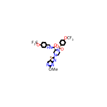 COc1ncc2sc(N3CCN(S(=O)(=O)c4ccc(OC(F)(F)F)cc4)[C@@H](C(=O)NCc4ccc(OC(F)(F)F)cc4)C3)nc2n1